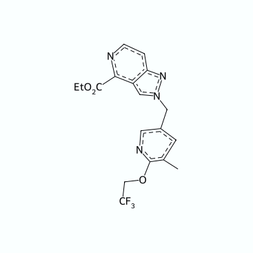 CCOC(=O)c1nccc2nn(Cc3cnc(OCC(F)(F)F)c(C)c3)cc12